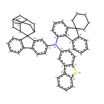 C[C@H]1C2CC3CC(C2)C2(c4ccccc4-c4ccc(N(c5ccc6sc7ccccc7c6c5)c5cccc6c5-c5ccccc5C65CCCCC5)cc42)C1C3